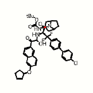 CC(C)(C)OC(=O)NC1CC2CCC(C1)N2C(=O)C(NC(O)C(=O)c1ccc2cc(OC3CCCC3)ccc2c1)C(F)(F)c1ccc(-c2ccc(Cl)cc2)cc1